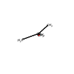 CCCCCCCCCCCCCCCCCO[Si](CCCCCCCCCCCCC)(OC)OC